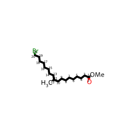 COC(=O)CCCCCCCCC(C)CCCCCCCCBr